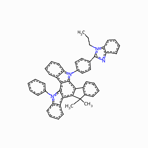 CCCn1c(-c2ccc(-n3c4ccccc4c4c3c3c(c5c6ccccc6n(-c6ccccc6)c54)C(C)(C)c4ccccc4-3)cc2)nc2ccccc21